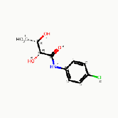 O=C(O)[C@H](O)[C@@H](O)C(=O)Nc1ccc(Cl)cc1